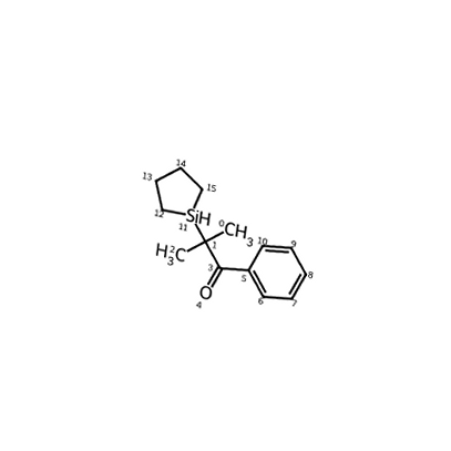 CC(C)(C(=O)c1ccccc1)[SiH]1CCCC1